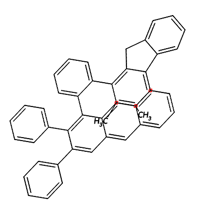 Cc1cc2c(c(-c3ccccc3-c3c(-c4ccccc4)c(-c4ccccc4)cc4cc5ccccc5cc34)c1C)Cc1ccccc1-2